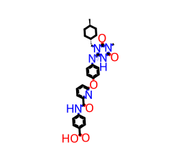 Cn1c(=O)[nH]/c(=N\c2ccc(Oc3cccc(C(=O)Nc4ccc(C(=O)O)cc4)n3)cc2)n(C[C@H]2CC[C@H](C)CC2)c1=O